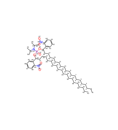 CCCCCCCCCCCCCCCCCCCC(OP(=O)(OC(CCCCCCCCCCCCCCCCCCC)c1ccccc1[N+](=O)[O-])N(C(C)C)C(C)C)c1ccccc1[N+](=O)[O-]